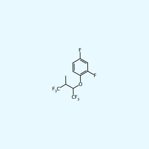 CC(C(Oc1ccc(F)cc1F)C(F)(F)F)C(F)(F)F